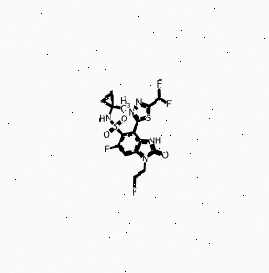 CC1(NS(=O)(=O)c2c(F)cc3c([nH]c(=O)n3CCF)c2-c2nnc(C(F)F)s2)CC1